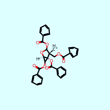 C[C@]1(COC(=O)c2ccccc2)C(OC(=O)c2ccccc2)O[C@@H]2C(OC(=O)c3ccccc3)[C@@]21OC(=O)c1ccccc1